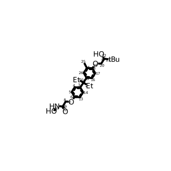 CCC(CC)(c1ccc(OCC(=O)NO)cc1)c1ccc(OCC(O)C(C)(C)C)c(C)c1